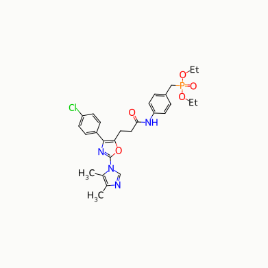 CCOP(=O)(Cc1ccc(NC(=O)CCc2oc(-n3cnc(C)c3C)nc2-c2ccc(Cl)cc2)cc1)OCC